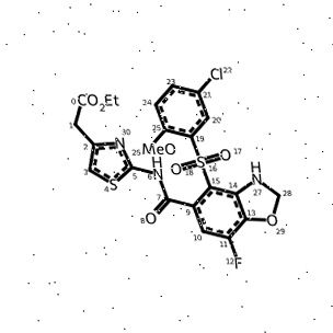 CCOC(=O)Cc1csc(NC(=O)c2cc(F)c3c(c2S(=O)(=O)c2cc(Cl)ccc2OC)NCO3)n1